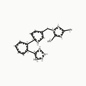 CCCc1nc(C(C)C)nn1Cc1ccc(-c2ccccc2-c2nnn[nH]2)nc1